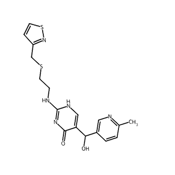 Cc1ccc(C(O)c2c[nH]c(NCCSCc3ccsn3)nc2=O)cn1